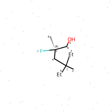 CCC(C)(CC)C[C@@](C)(F)CO